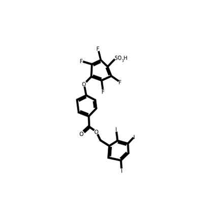 O=C(OCc1cc(I)cc(I)c1I)c1ccc(Oc2c(F)c(F)c(S(=O)(=O)O)c(F)c2F)cc1